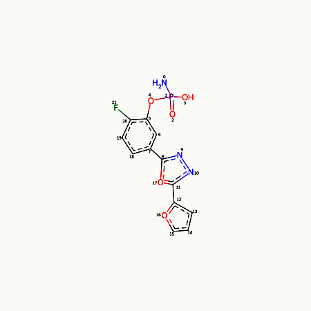 NP(=O)(O)Oc1cc(-c2nnc(-c3ccco3)o2)ccc1F